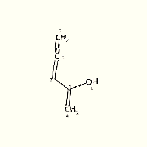 C=C=CC(=C)O